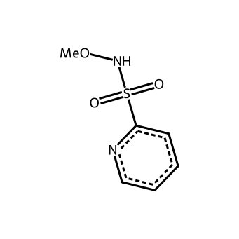 CONS(=O)(=O)c1ccccn1